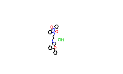 Cl.O=c1c2ccccc2n(CCCCN2CCC(OC(c3ccccc3)c3ccccc3)CC2)c(=O)n1C1CCCCC1